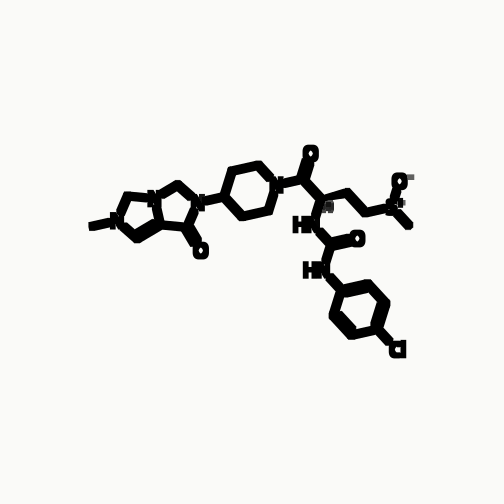 CN1C=C2C(=O)N(C3CCN(C(=O)[C@@H](CC[S+](C)[O-])NC(=O)Nc4ccc(Cl)cc4)CC3)CN2C1